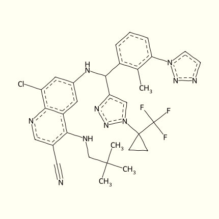 Cc1c(C(Nc2cc(Cl)c3ncc(C#N)c(NCC(C)(C)C)c3c2)c2cn(C3(C(F)(F)F)CC3)nn2)cccc1-n1ccnn1